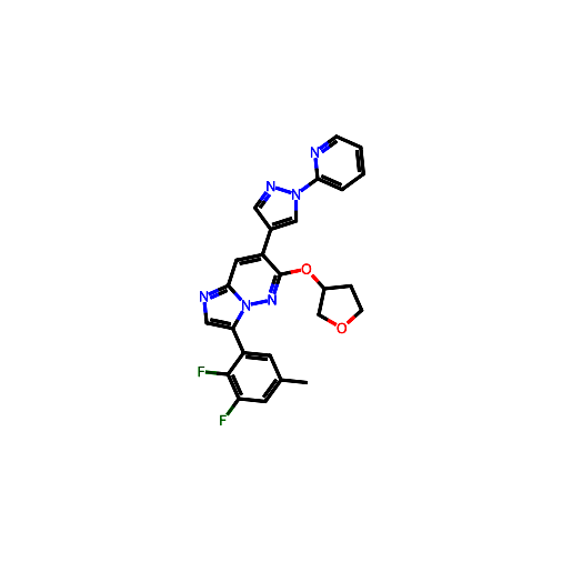 Cc1cc(F)c(F)c(-c2cnc3cc(-c4cnn(-c5ccccn5)c4)c(OC4CCOC4)nn23)c1